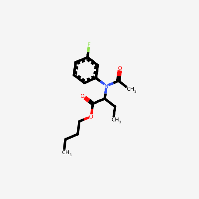 CCCCOC(=O)C(CC)N(C(C)=O)c1cccc(F)c1